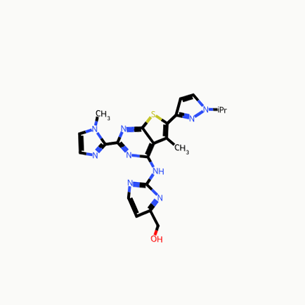 Cc1c(-c2ccn(C(C)C)n2)sc2nc(-c3nccn3C)nc(Nc3nccc(CO)n3)c12